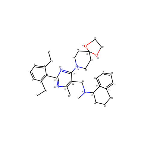 CCc1cccc(CC)c1-c1nc(C)c(CN(C)C2CCCc3ccccc32)c(N2CCC3(CC2)OCCO3)n1